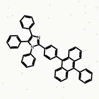 c1ccc(-c2nc(-c3ccc(-c4c5ccccc5c(-c5ccccc5)c5ccccc45)cc3)n(-c3ccccc3)c2-c2ccccc2)cc1